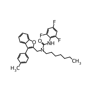 CCCCCCCN(Cc1oc2ccccc2c1-c1ccc(C)cc1)C(=O)Nc1c(F)cc(F)cc1F